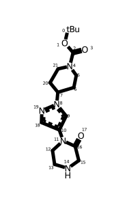 CC(C)(C)OC(=O)N1CCC(n2cc(N3CCNCC3=O)cn2)CC1